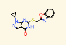 O=c1[nH]c(SCc2nc3ccccc3o2)nc2c1cnn2C1CC1